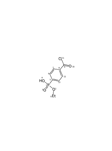 CCOP(=O)(O)c1ccc(C(=O)Cl)cc1